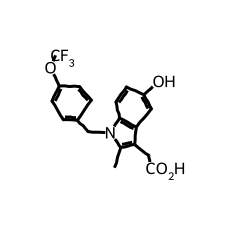 Cc1c(CC(=O)O)c2cc(O)ccc2n1Cc1ccc(OC(F)(F)F)cc1